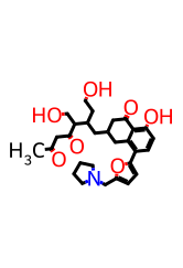 CC(=O)CC(=O)C(CO)C(CCO)CC1CC(=O)c2c(O)ccc(-c3ccc(CN4CCCC4)o3)c2C1